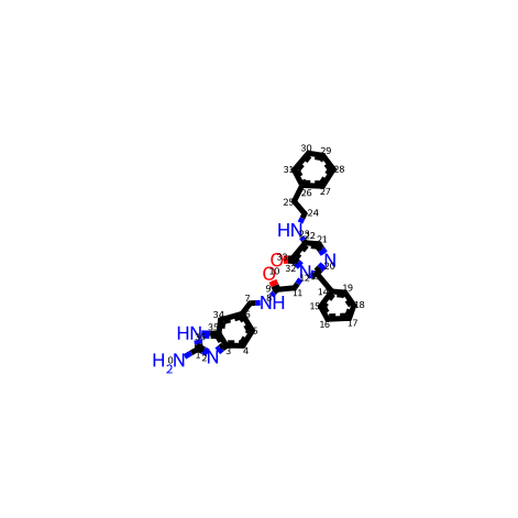 Nc1nc2ccc(CNC(=O)Cn3c(-c4ccccc4)ncc(NCCc4ccccc4)c3=O)cc2[nH]1